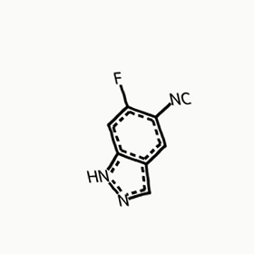 [C-]#[N+]c1cc2cn[nH]c2cc1F